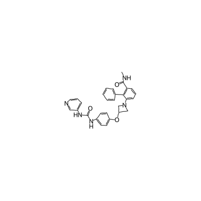 CNC(=O)c1cccc(N2CC(Oc3ccc(NC(=O)Nc4cccnc4)cc3)C2)c1-c1ccccc1